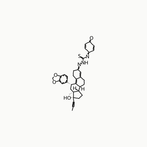 CC#C[C@]1(O)CC[C@H]2[C@@H]3CCC4=CC(=NNC(=S)N=C5C=CC(=O)C=C5)CCC4=C3[C@@H](c3ccc4c(c3)OCO4)C[C@@]21C